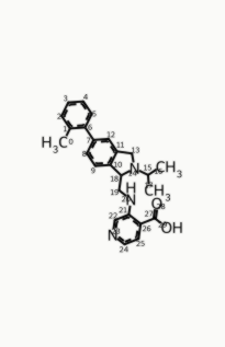 Cc1ccccc1-c1ccc2c(c1)CN(C(C)C)C2CNc1cnccc1C(=O)O